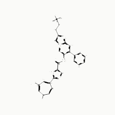 CCC1C=CC(c2nc(C(=O)Nc3cn4cc(CCC(C)(C)O)nc4cc3-c3ccccc3)co2)=CC(C)=C1